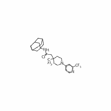 CC1(CC(=O)NC23CC4CC(CC(C4)C2)C3)CCN(c2ccnc(C(F)(F)F)c2)CC1